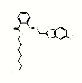 CCCCCCCCCCCCCCCCOC(=O)c1ccccc1N=NCc1nc2cc(Cl)ccc2s1